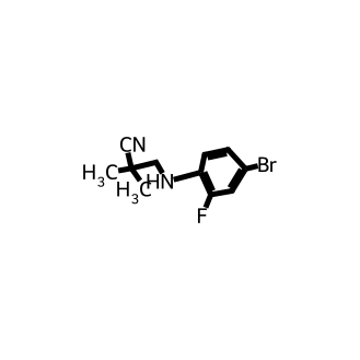 CC(C)(C#N)CNc1ccc(Br)cc1F